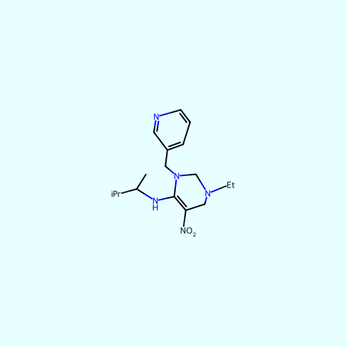 CCN1CC([N+](=O)[O-])=C(NC(C)C(C)C)N(Cc2cccnc2)C1